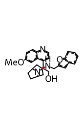 COc1ccc2nccc(C(CO)N3C4CCC3CC(NCc3cc5ccccc5o3)C4)c2c1